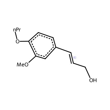 CCCOc1ccc(/C=C/CO)cc1OC